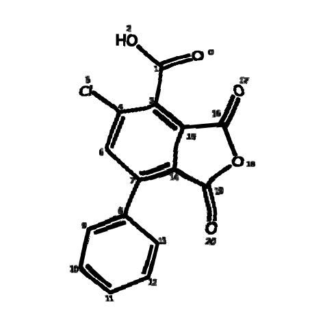 O=C(O)c1c(Cl)cc(-c2ccccc2)c2c1C(=O)OC2=O